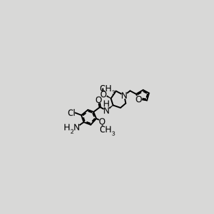 COc1cc(N)c(Cl)cc1C(=O)N[C@@H]1CCN(Cc2ccco2)C[C@@H]1OC